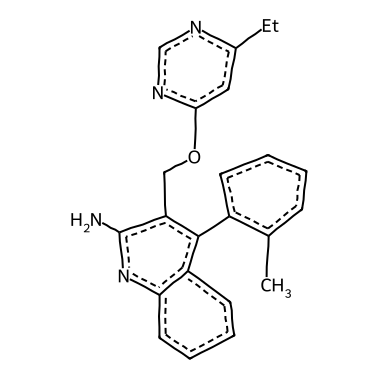 CCc1cc(OCc2c(N)nc3ccccc3c2-c2ccccc2C)ncn1